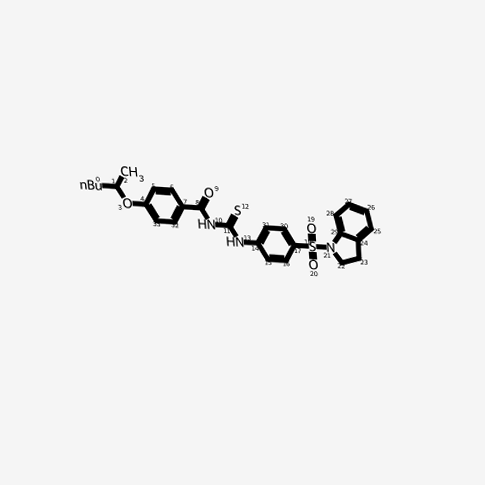 CCCCC(C)Oc1ccc(C(=O)NC(=S)Nc2ccc(S(=O)(=O)N3CCc4ccccc43)cc2)cc1